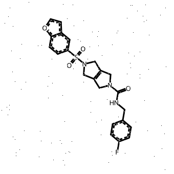 O=C(NCc1ccc(F)cc1)N1CC2=C(C1)CN(S(=O)(=O)c1ccc3occc3c1)C2